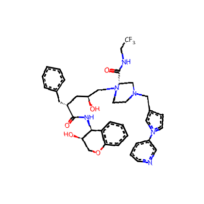 O=C(N[C@H]1c2ccccc2OC[C@H]1O)[C@H](Cc1ccccc1)C[C@H](O)CN1CCN(Cc2ccn(-c3cccnc3)c2)C[C@H]1C(=O)NCC(F)(F)F